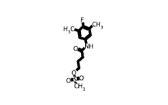 Cc1cc(NC(=O)CCCOS(C)(=O)=O)cc(C)c1F